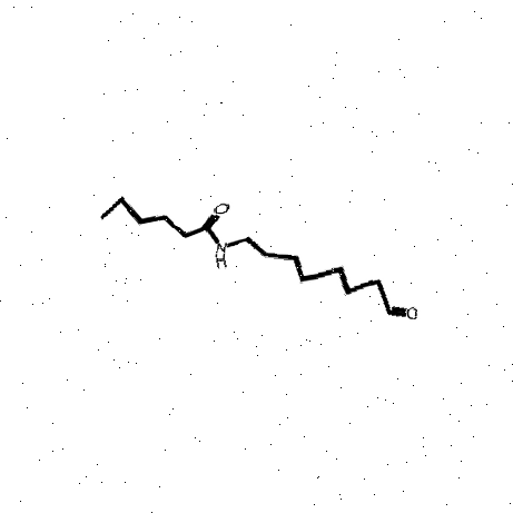 CCCCCC(=O)NCCCCCCCC=O